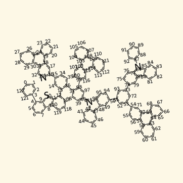 c1ccc(-c2cccc3c2sc2c(-c4cc(-c5cc6c7ccccc7c7ccccc7c6cn5)ccc4-c4ccc(-n5c6ccccc6c6cc(-c7cc(-c8ccc9c%10ccccc%10c%10ccccc%10c9c8)cc(-c8ccc9c(c8)c8ccccc8n9-c8ccccc8)c7)ccc65)cc4-c4ccc5c6ccccc6c6ccccc6c5c4)cccc23)cc1